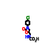 O=C(O)NCC1CN(c2ccc(Cl)cc2)C(=O)O1